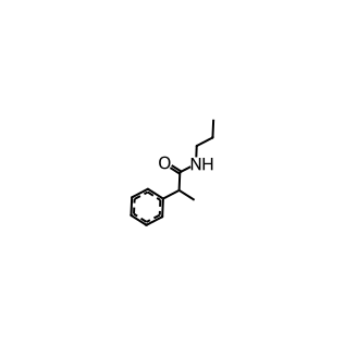 CCCNC(=O)C(C)c1ccccc1